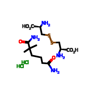 CC(C)(CCCC(N)=O)C(N)=O.Cl.Cl.N[C@@H](CSSC[C@H](N)C(=O)O)C(=O)O